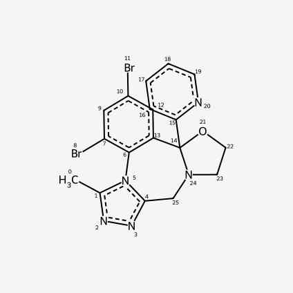 Cc1nnc2n1-c1c(Br)cc(Br)cc1C1(c3ccccn3)OCCN1C2